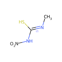 C/N=C(\S)N[N+](=O)[O-]